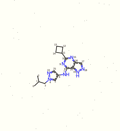 CC(C)Cn1cc(Nc2nc(C3CCC3)nc3cn[nH]c23)cn1